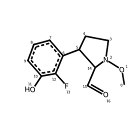 CON1CCC(c2cccc(O)c2F)C1C=O